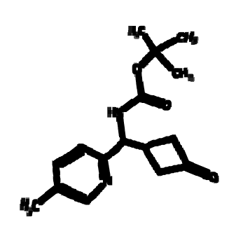 Cc1ccc(C(NC(=O)OC(C)(C)C)C2CC(=O)C2)nc1